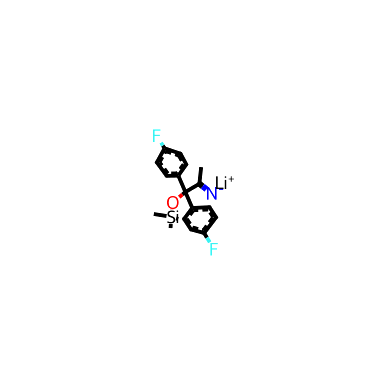 CC(=[N-])C(O[Si](C)(C)C)(c1ccc(F)cc1)c1ccc(F)cc1.[Li+]